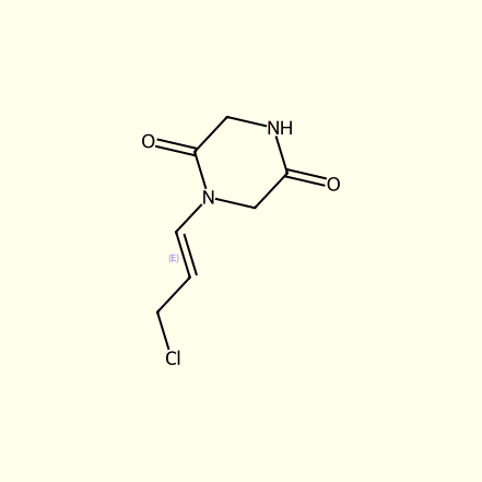 O=C1CN(/C=C/CCl)C(=O)CN1